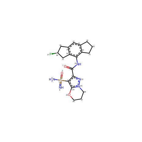 N=S(N)(=O)c1c(C(=O)Nc2c3c(cc4c2C[C@@H](F)C4)CCC3)nn2c1OCCC2